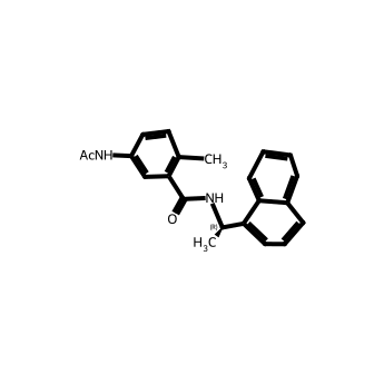 CC(=O)Nc1ccc(C)c(C(=O)N[C@H](C)c2cccc3ccccc23)c1